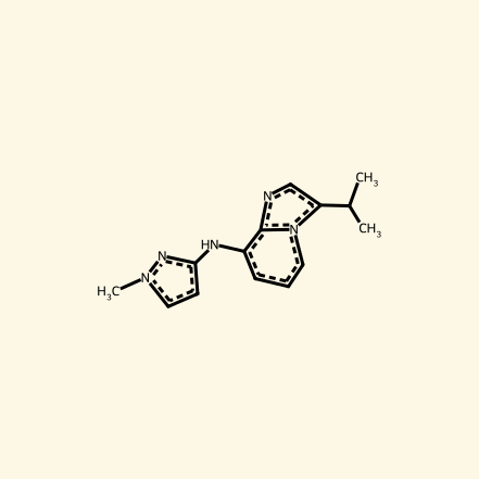 CC(C)c1cnc2c(Nc3ccn(C)n3)cccn12